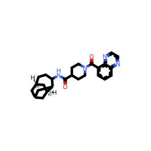 O=C(NC1CC[C@@H]2CC3CC1[C@@H](C3)C2)C1CCN(C(=O)c2cccc3nccnc23)CC1